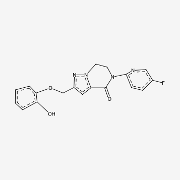 O=C1c2cc(COc3ccccc3O)nn2CCN1c1ccc(F)cn1